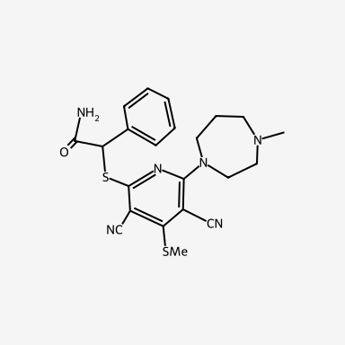 CSc1c(C#N)c(SC(C(N)=O)c2ccccc2)nc(N2CCCN(C)CC2)c1C#N